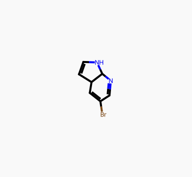 BrC1=CC2C=CNC2N=C1